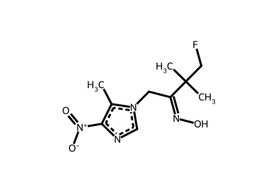 Cc1c([N+](=O)[O-])ncn1CC(=NO)C(C)(C)CF